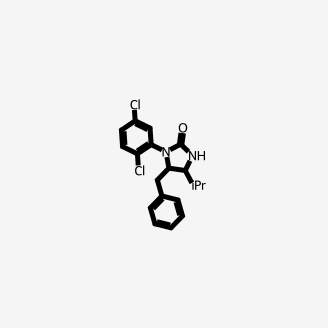 CC(C)C1NC(=O)N(c2cc(Cl)ccc2Cl)C1Cc1ccccc1